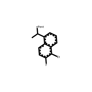 CCCCCC(C)c1cccc2c(CC)c(F)ccc12